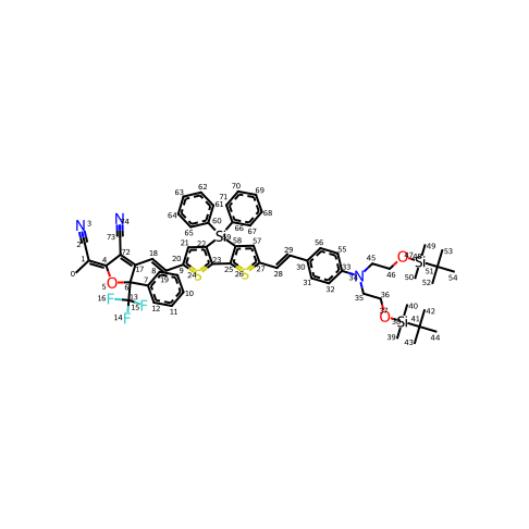 C/C(C#N)=C1\OC(c2ccccc2)(C(F)(F)F)C(/C=C/c2cc3c(s2)-c2sc(/C=C/c4ccc(N(CCO[Si](C)(C)C(C)(C)C)CCO[Si](C)(C)C(C)(C)C)cc4)cc2[Si]3(c2ccccc2)c2ccccc2)=C1C#N